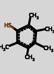 Cc1c(C)c(C)c(S)c(C)c1C